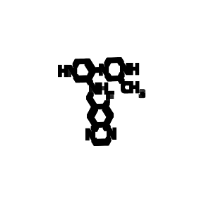 CC1CN(C2=CCNC=C2NCc2cc3nccnc3cc2F)CCN1